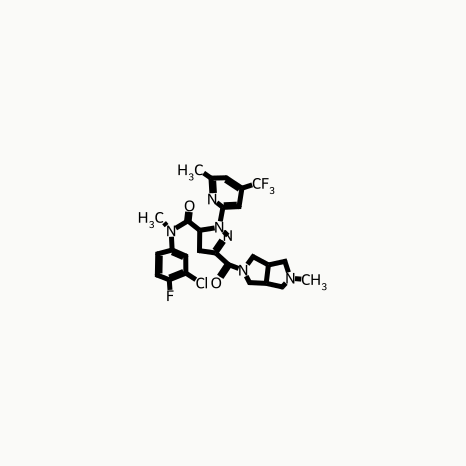 Cc1cc(C(F)(F)F)cc(N2N=C(C(=O)N3CC4CN(C)CC4C3)CC2C(=O)N(C)c2ccc(F)c(Cl)c2)n1